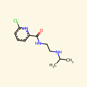 CC(C)NCCNC(=O)c1cccc(Cl)n1